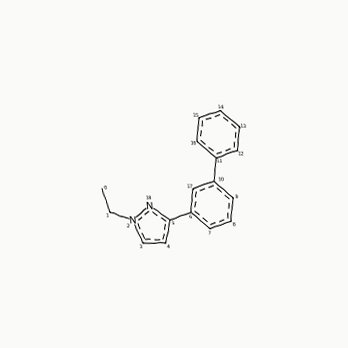 CCn1ccc(-c2cccc(-c3ccccc3)c2)n1